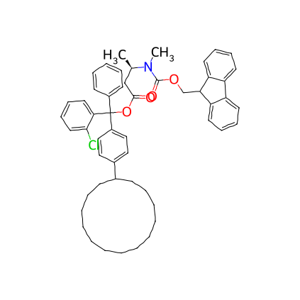 C[C@H](CC(=O)OC(c1ccccc1)(c1ccc(C2CCCCCCCCCCCCC2)cc1)c1ccccc1Cl)N(C)C(=O)OCC1c2ccccc2-c2ccccc21